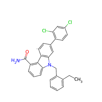 CCc1ccccc1Cn1c2cc(-c3ccc(Cl)cc3Cl)c[c]c2c2c(C(N)=O)cccc21